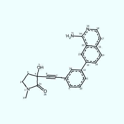 CN1CCC(O)(C#Cc2cccc(-c3ccc4ccnc(N)c4c3)c2)C1=O